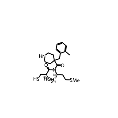 CSCC[C@@H](C(=O)O)N(C(=O)[C@@H](N)CS)C(=O)C1(Cc2ccccc2C)CCNCC1